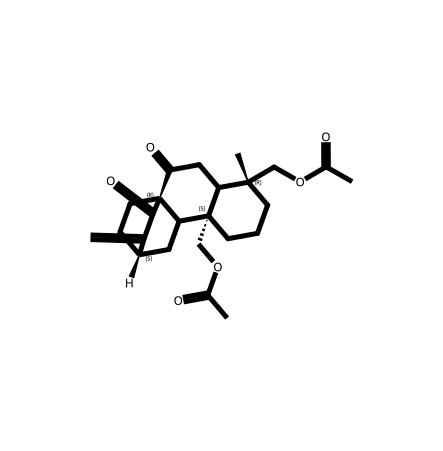 C=C1C(=O)[C@]23CC[C@H]1CC2[C@]1(COC(C)=O)CCC[C@@](C)(COC(C)=O)C1CC3=O